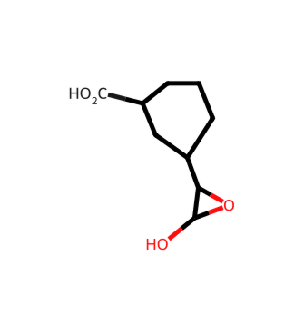 O=C(O)C1CCCC(C2OC2O)C1